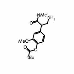 CNC(=O)C(CN)c1ccc(OC(=O)C(C)(C)C)c(OC)c1